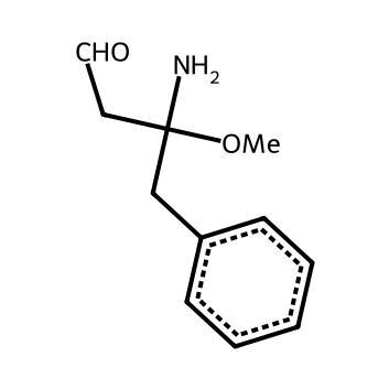 COC(N)(CC=O)Cc1ccccc1